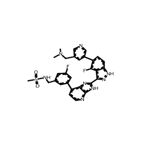 CN(C)Cc1cncc(-c2ccc3[nH]nc(-c4nc5c(-c6cc(F)cc(CNS(C)(=O)=O)c6)ccnc5[nH]4)c3c2F)c1